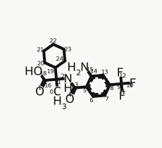 CC(NC(=O)c1ccc(C(F)(F)F)cc1N)(C(=O)O)C1CCCCC1